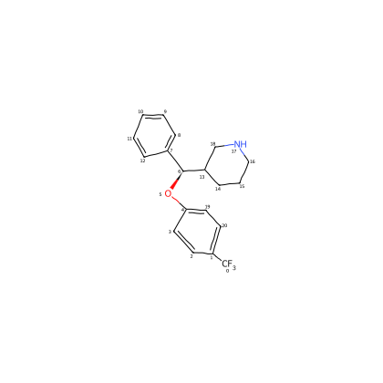 FC(F)(F)c1ccc(O[C@@H](c2ccccc2)C2CCCNC2)cc1